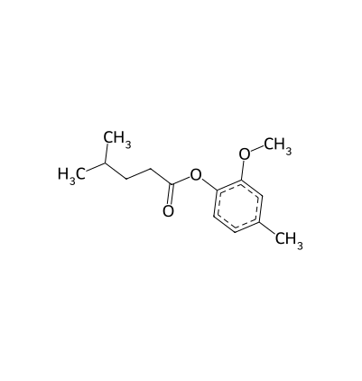 COc1cc(C)ccc1OC(=O)CCC(C)C